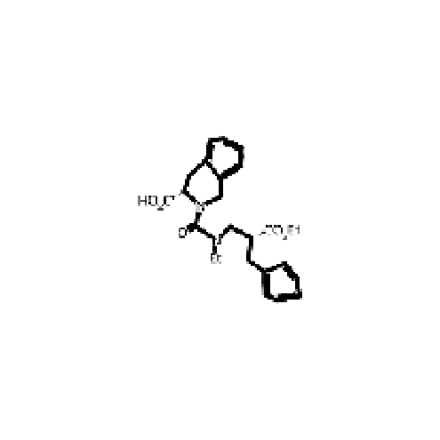 CCOC(=O)[C@H](Cc1ccccc1)CN(CC)C(=O)N1Cc2ccccc2C[C@H]1C(=O)O